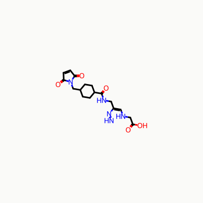 N=N/C(=C\NCC(=O)O)CNC(=O)C1CCC(CN2C(=O)C=CC2=O)CC1